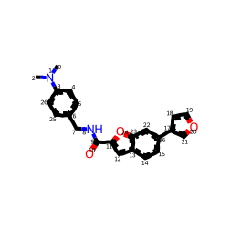 CN(C)c1ccc(CNC(=O)c2cc3ccc(-c4ccoc4)cc3o2)cc1